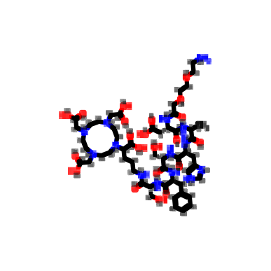 C[C@H](NC(=O)[C@H](CC(=O)O)NC(=O)COCCOCCN)C(=O)N[C@@H](Cc1c[nH]cn1)C(=O)N[C@@H](CO)C(=O)N[C@@H](Cc1ccccc1)C(=O)N[C@H](CO)C(=O)NCCCC(C(=O)O)N1CCN(CC(=O)O)CCN(CC(=O)O)CCN(CC(=O)O)CC1